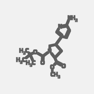 COC(=O)C1CC(c2ccc(N)nc2)CN1C(=O)OC(C)(C)C